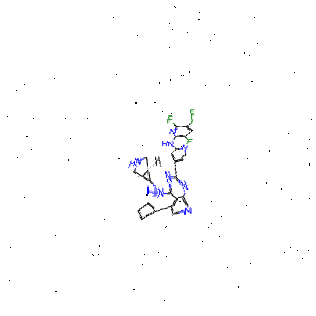 Fc1cc(F)c(Nc2cc(-c3nc(NC4C5CNC[C@H]54)c4c(C5CCC5)cncc4n3)ccn2)nc1F